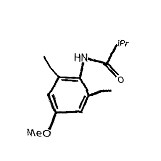 COc1cc(C)c(NC(=O)C(C)C)c(C)c1